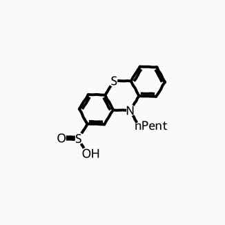 CCCCCN1c2ccccc2Sc2ccc(S(=O)O)cc21